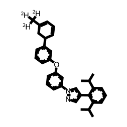 [2H]C([2H])([2H])C1=CC=CC(c2cccc(Oc3cccc(-n4cc(-c5c(C(C)C)cccc5C(C)C)cn4)c3)c2)C1